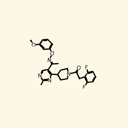 COc1cccc(O/N=C(\C)c2cnc(C)nc2C2CCN(C(=O)Cc3c(F)cccc3F)CC2)c1